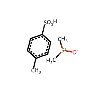 C[S+](C)[O-].Cc1ccc(S(=O)(=O)O)cc1